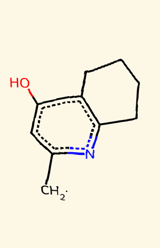 [CH2]c1cc(O)c2c(n1)CCCC2